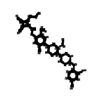 CCOc1c(NCc2nc(Cl)c(N3CCN(C4CCN(Cc5ccc(Cl)cc5F)CC4)[C@@H](CC)C3)nc2N)c(=O)c1=O